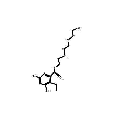 CCc1c(O)cc(O)cc1C(=O)OCCOCCOCCO